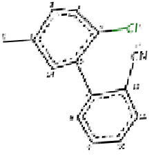 Cc1ccc(Cl)c(-c2ccccc2C#N)c1